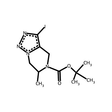 CC1Cn2nnc(I)c2CN1C(=O)OC(C)(C)C